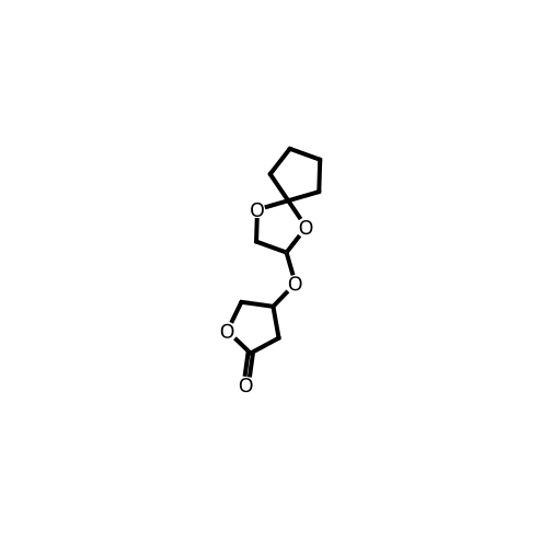 O=C1CC(OC2COC3(CCCC3)O2)CO1